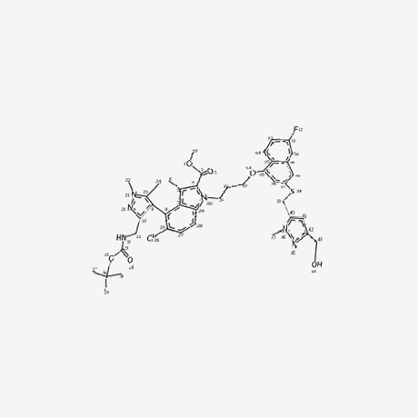 COC(=O)c1c(C)c2c(-c3c(CNC(=O)OC(C)(C)C)nn(C)c3C)c(Cl)ccc2n1CCCOc1cc(SCc2cc(CO)nn2C)cc2cc(F)ccc12